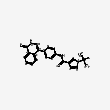 CC(n1cc(C(=O)Nc2ccc(-c3n[nH]c(=O)c4ccccc34)cc2)cn1)(C(F)(F)F)C(F)(F)F